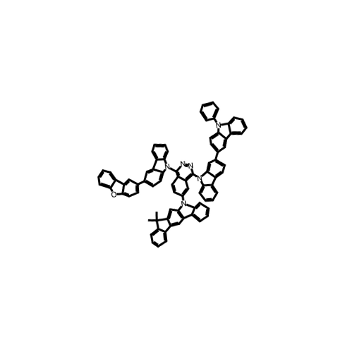 CC1(C)c2ccccc2-c2cc3c4ccccc4n(-c4ccc5c(-n6c7ccccc7c7cc(-c8ccc9oc%10ccccc%10c9c8)ccc76)nnc(-n6c7ccccc7c7ccc(-c8ccc9c(c8)c8ccccc8n9-c8ccccc8)cc76)c5c4)c3cc21